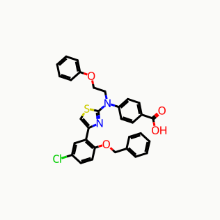 O=C(O)c1ccc(N(CCOc2ccccc2)c2nc(-c3cc(Cl)ccc3OCc3ccccc3)cs2)cc1